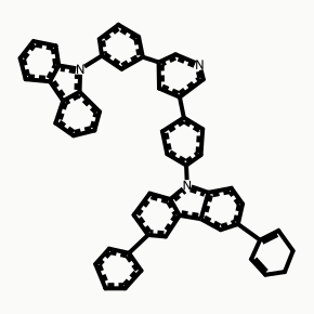 C1=CC(c2ccc3c(c2)c2cc(-c4ccccc4)ccc2n3-c2ccc(-c3cncc(-c4cccc(-n5c6ccccc6c6ccccc65)c4)c3)cc2)=CCC1